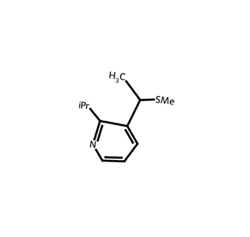 CSC(C)c1cccnc1C(C)C